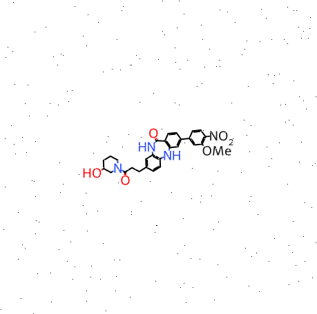 COc1cc(-c2ccc3c(c2)Nc2ccc(CCC(=O)N4CCCC(O)C4)cc2NC3=O)ccc1[N+](=O)[O-]